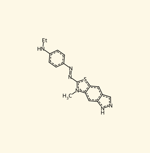 CCNc1ccc(/N=N/c2sc3cc4cn[nH]c4cc3[n+]2C)cc1